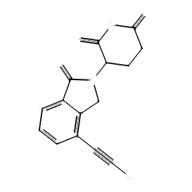 NC#Cc1cccc2c1CN(C1CCC(=O)NC1=O)C2=O